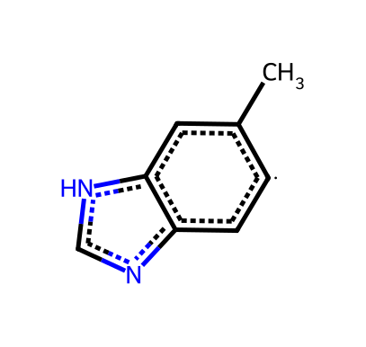 Cc1[c]cc2nc[nH]c2c1